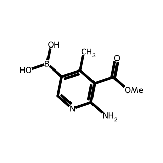 COC(=O)c1c(N)ncc(B(O)O)c1C